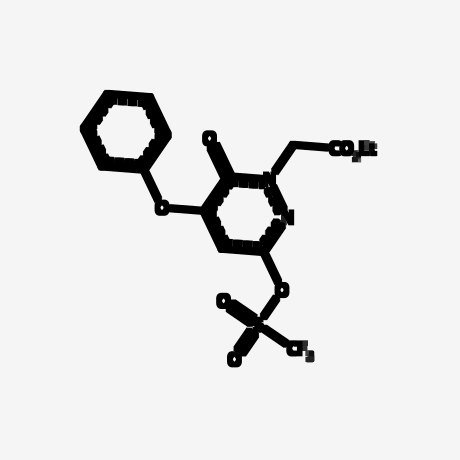 CCOC(=O)Cn1nc(OS(=O)(=O)C(F)(F)F)cc(Oc2ccccc2)c1=O